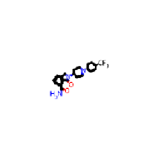 NC(=O)c1cccc2c1C(=O)N(C1CCN([C@H]3CC[C@H](C(F)(F)F)CC3)CC1)C2